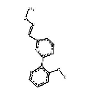 CON=Cc1cccc(-c2ncccc2OC)n1